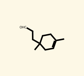 CC1=CCC(C)(CCC=O)CC1